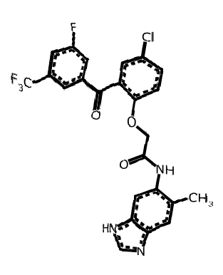 Cc1cc2nc[nH]c2cc1NC(=O)COc1ccc(Cl)cc1C(=O)c1cc(F)cc(C(F)(F)F)c1